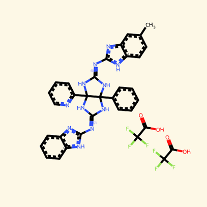 Cc1ccc2[nH]c(/N=C3\NC4(c5ccccc5)N/C(=N/c5nc6ccccc6[nH]5)NC4(c4ccccn4)N3)nc2c1.O=C(O)C(F)(F)F.O=C(O)C(F)(F)F